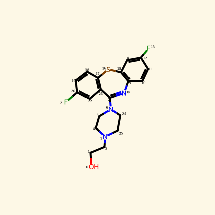 OCCN1CCN(C2=Nc3ccc(F)cc3Sc3ccc(F)cc32)CC1